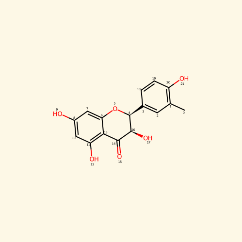 Cc1cc([C@@H]2Oc3cc(O)cc(O)c3C(=O)[C@@H]2O)ccc1O